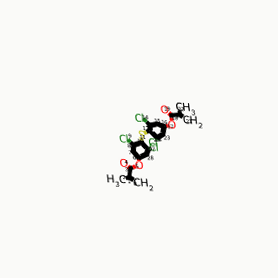 C=C(C)C(=O)Oc1cc(Cl)c(Sc2c(Cl)cc(OC(=O)C(=C)C)cc2Cl)c(Cl)c1